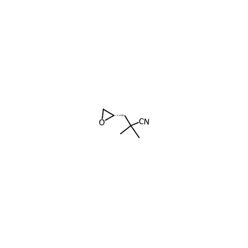 CC(C)(C#N)C[C@H]1CO1